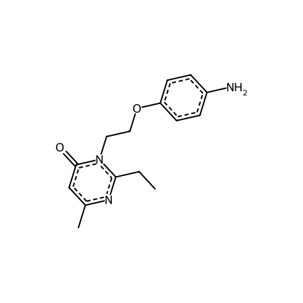 CCc1nc(C)cc(=O)n1CCOc1ccc(N)cc1